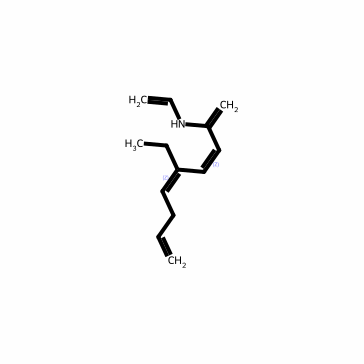 C=CC/C=C(\C=C/C(=C)NC=C)CC